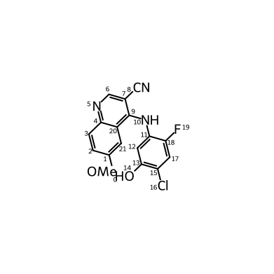 COc1ccc2ncc(C#N)c(Nc3cc(O)c(Cl)cc3F)c2c1